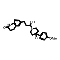 COc1ccc(C2(O)CCN(C(O)CCc3ccc4c(c3)CCC(=O)N4)CC2)cc1